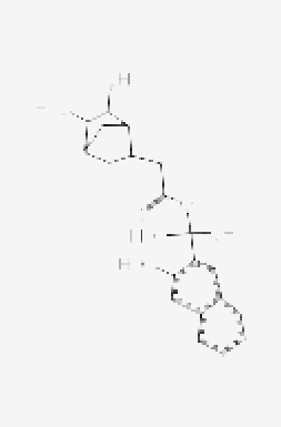 Cc1cc2ccccc2cc1C(C)(C)OC(=O)CC1CC2CC1C(C)C2C